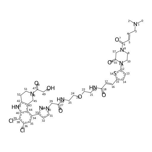 CN(C)CC=CC(=O)N1CCN(c2ccc(/C=C/C(=O)NCCOCCNC(=O)Cn3ccc(-c4cc(Cl)c(Cl)c5[nH]c6c(c45)CN(C(=O)CO)CC6)n3)s2)C(=O)C1